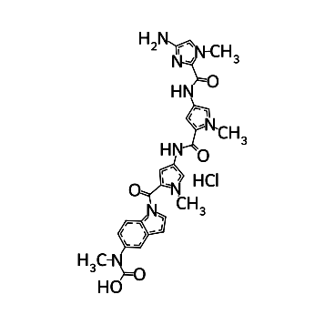 CN(C(=O)O)c1ccc2c(ccn2C(=O)c2cc(NC(=O)c3cc(NC(=O)c4nc(N)cn4C)cn3C)cn2C)c1.Cl